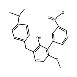 COc1ccc(Cc2ccc(N(C)C)cc2)c(O)c1-c1cccc([N+](=O)[O-])c1